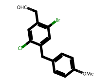 COc1ccc(Cc2cc(Br)c(CC=O)[c]c2Cl)cc1